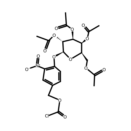 CC(=O)OC[C@H]1O[C@@H](Oc2ccc(COC(=O)Cl)cc2[N+](=O)[O-])[C@H](OC(C)=O)[C@@H](OC(C)=O)[C@H]1OC(C)=O